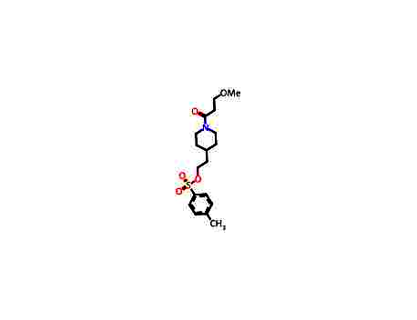 COCCC(=O)N1CCC(CCOS(=O)(=O)c2ccc(C)cc2)CC1